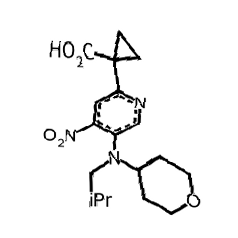 CC(C)CN(c1cnc(C2(C(=O)O)CC2)cc1[N+](=O)[O-])C1CCOCC1